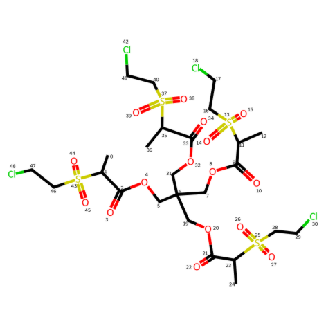 CC(C(=O)OCC(COC(=O)C(C)S(=O)(=O)CCCl)(COC(=O)C(C)S(=O)(=O)CCCl)COC(=O)C(C)S(=O)(=O)CCCl)S(=O)(=O)CCCl